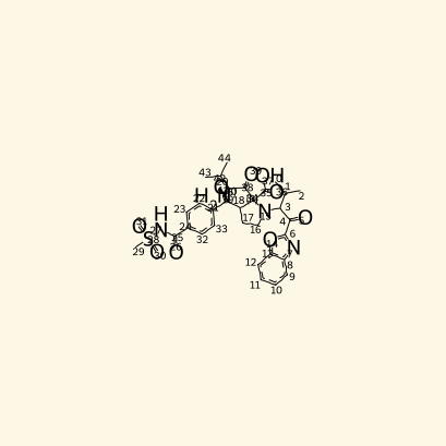 CC(C)C(C(=O)c1nc2ccccc2o1)N1CCC(C(=O)c2ccc(C(=O)NS(C)(=O)=O)cc2)[C@]1(C(=O)O)C(=O)[C@@H](N)C(C)C